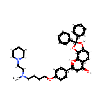 CN(CCCCOc1ccc(-c2cc(=O)c3ccc4c(c3o2)OC(c2ccccc2)(c2ccccc2)O4)cc1)CCN1CCCCC1